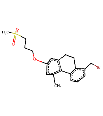 Cc1cc(OCCCS(C)(=O)=O)cc2c1-c1cccc(CBr)c1CC2